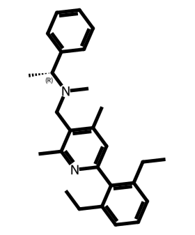 CCc1cccc(CC)c1-c1cc(C)c(CN(C)[C@H](C)c2ccccc2)c(C)n1